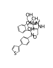 COc1ccccc1C1c2c(C(C)(CO)CO)n[nH]c2CON1c1ccc(-c2ccsc2)cc1